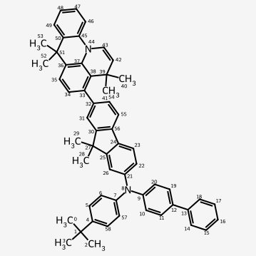 CC(C)(C)c1ccc(N(c2ccc(-c3ccccc3)cc2)c2ccc3c(c2)C(C)(C)c2cc(-c4ccc5c6c4C(C)(C)C=CN6c4ccccc4C5(C)C)ccc2-3)cc1